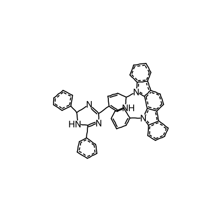 C1=CCCC(n2c3ccccc3c3ccc4c5ccccc5n(C5C=CC(C6=NC(c7ccccc7)NC(c7ccccc7)=N6)=CN5)c4c32)=C1